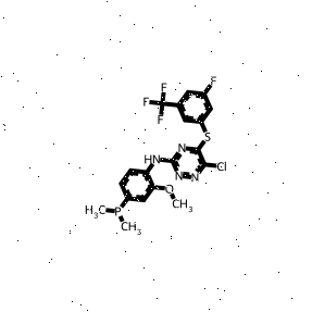 COc1cc(P(C)C)ccc1Nc1nnc(Cl)c(Sc2cc(F)cc(C(F)(F)F)c2)n1